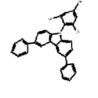 Cc1cc(C#N)c(-n2c3ccc(-c4ccccc4)cc3c3cc(-c4ccccc4)ccc32)c(C#N)c1